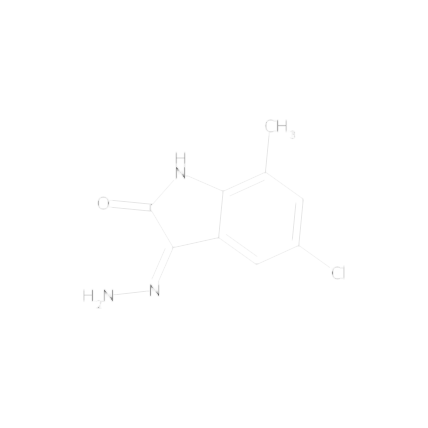 Cc1cc(Cl)cc2c1NC(=O)/C2=N\N